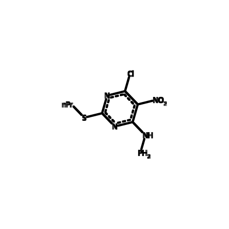 CCCSc1nc(Cl)c([N+](=O)[O-])c(NP)n1